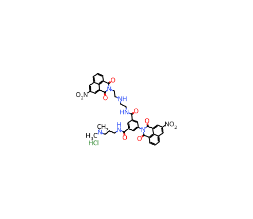 CN(C)CCCNC(=O)c1cc(C(=O)NCCNCCN2C(=O)c3cccc4cc([N+](=O)[O-])cc(c34)C2=O)cc(N2C(=O)c3cccc4cc([N+](=O)[O-])cc(c34)C2=O)c1.Cl